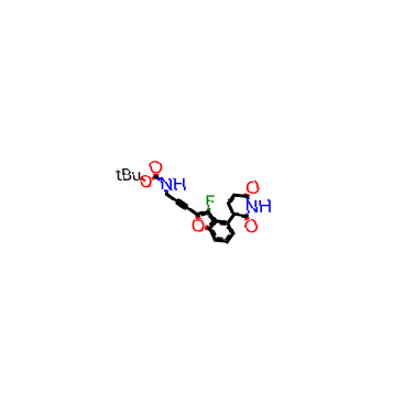 CC(C)(C)OC(=O)NCC#Cc1oc2cccc(C3CCC(=O)NC3=O)c2c1F